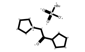 CCCCS(=O)(=O)[O-].O=C(C[S+]1CCCC1)C1CCCC1